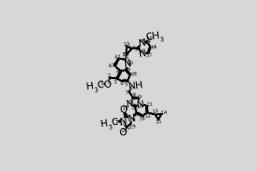 COCc1cc(NCc2cn3cc(C4CC4)cc(N4CC(=O)N(C)C4=O)c3n2)cc2nc([C@H]3CC3c3nccc(C)n3)ccc12